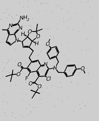 COc1ccc(CN(Cc2ccc(OC)cc2)c2nc3cc(CCC4=C[C@@H](n5ccc6c(C)nc(N)nc65)[C@@H]5OC(C)(C)O[C@H]45)c(C(=O)OC(C)(C)C)c(F)c3c(C(=O)OC(C)(C)C)c2Cl)cc1